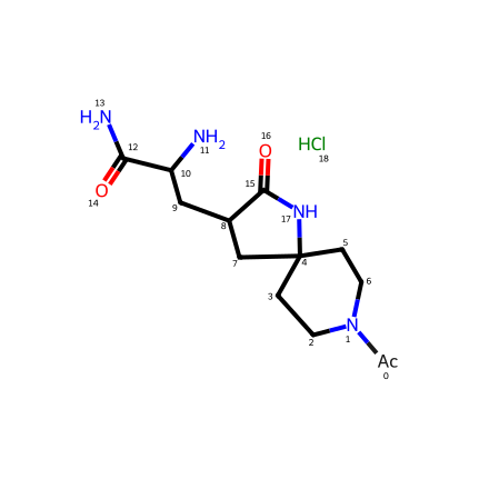 CC(=O)N1CCC2(CC1)CC(CC(N)C(N)=O)C(=O)N2.Cl